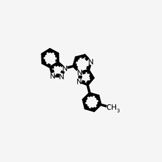 Cc1cccc(-c2cc3nccc(-n4nnc5ccccc54)n3n2)c1